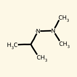 CC(C)[N]N(C)C